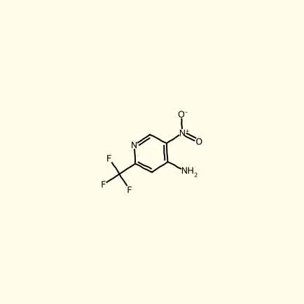 Nc1cc(C(F)(F)F)ncc1[N+](=O)[O-]